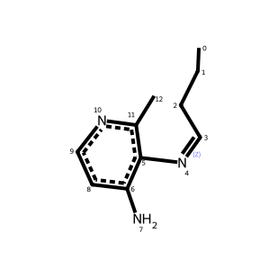 CCC/C=N\c1c(N)ccnc1C